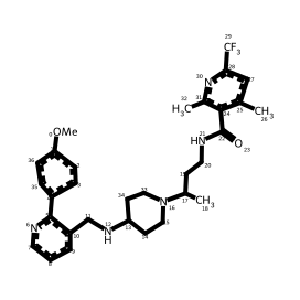 COc1ccc(-c2ncccc2CNC2CCN(C(C)CCNC(=O)c3c(C)cc(C(F)(F)F)nc3C)CC2)cc1